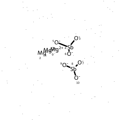 [Mg+2].[Mg+2].[Mg+2].[O-][Sb]([O-])[O-].[O-][Sb]([O-])[O-]